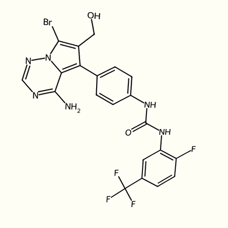 Nc1ncnn2c(Br)c(CO)c(-c3ccc(NC(=O)Nc4cc(C(F)(F)F)ccc4F)cc3)c12